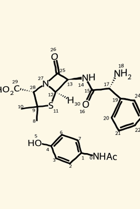 CC(=O)Nc1ccc(O)cc1.CC1(C)S[C@@H]2[C@H](NC(=O)[C@H](N)c3ccccc3)C(=O)N2[C@H]1C(=O)O